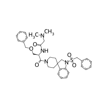 CN(C)CC(=O)N[C@H](COCc1ccccc1)C(=O)N1CCC2(CC1)CN(S(=O)(=O)Cc1ccccc1)c1ccccc12